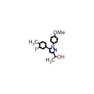 COc1ccc(-n2nc(C(C)O)cc2-c2ccc(C)c(F)c2)cc1